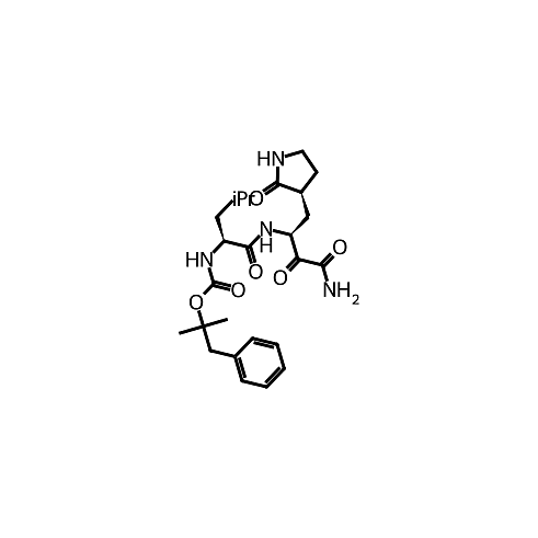 CC(C)C[C@H](NC(=O)OC(C)(C)Cc1ccccc1)C(=O)N[C@@H](C[C@@H]1CCNC1=O)C(=O)C(N)=O